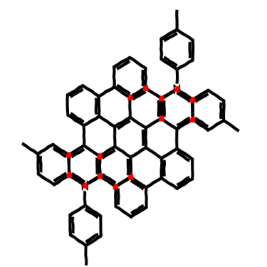 Cc1ccc(N(c2ccc(C)cc2)c2ccc3c(-c4c(-c5ccccc5)cccc4-c4ccccc4)c4cc(N(c5ccc(C)cc5)c5ccc(C)cc5)ccc4c(-c4c(-c5ccccc5)cccc4-c4ccccc4)c3c2)cc1